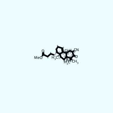 COC(=O)CCC[C@@H]1CCC=C2[C@@]1(C)CC[C@H]1C(C)(C)C(=O)C(C#N)C[C@]21C